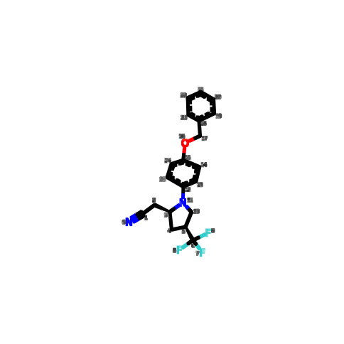 N#CC[C@@H]1C[C@H](C(F)(F)F)CN1c1ccc(OCc2ccccc2)cc1